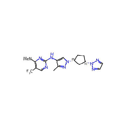 CNc1nc(Nc2cn([C@@H]3CC[C@H](n4nccn4)C3)nc2C)ncc1C(F)(F)F